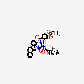 CN[C@@H](C)C(=O)N[C@H]1CN(C(=O)c2ccc(S(C)(=O)=O)cc2)c2ccccc2N(Cc2c(C)ccc3ccccc23)C1=O